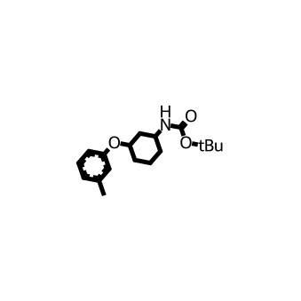 Cc1cccc(OC2CCCC(NC(=O)OC(C)(C)C)C2)c1